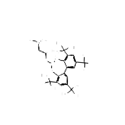 CN(C)CCOp1oc2c(C(C)(C)C)cc(C(C)(C)C)cc2c2cc(C(C)(C)C)cc(C(C)(C)C)c2o1